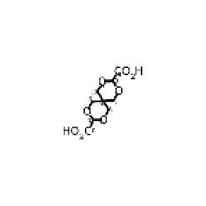 O=C(O)C1OCC2(CO1)COC(C(=O)O)OC2